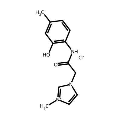 Cc1ccc(NC(=O)Cn2cc[n+](C)c2)c(O)c1.[Cl-]